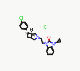 Cl.O=c1n(CCN2CC3C[C@H](c4ccc(Cl)cc4)[C@H]3C2)c2ccccc2n1C1CC1